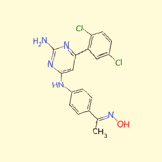 CC(=NO)c1ccc(Nc2cc(-c3cc(Cl)ccc3Cl)nc(N)n2)cc1